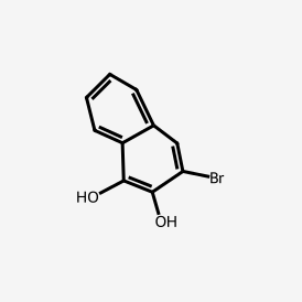 Oc1c(Br)cc2ccccc2c1O